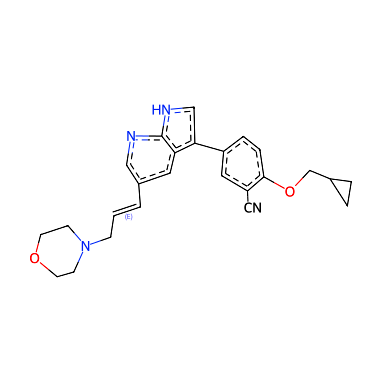 N#Cc1cc(-c2c[nH]c3ncc(/C=C/CN4CCOCC4)cc23)ccc1OCC1CC1